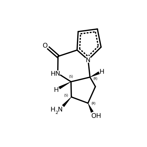 N[C@H]1[C@@H]2NC(=O)c3cccn3[C@@H]2C[C@H]1O